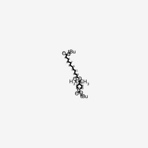 CC(C)(C)OC(=O)CCCCCCCCCCC(=O)OC(C)(C)C1CCN(C(=O)OC(C)(C)C)CC1